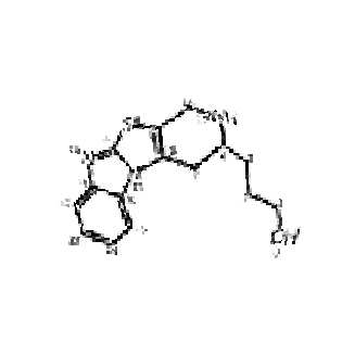 OCCCC1Cc2c(sc3nc4ccccc4n23)CN1